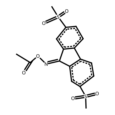 CC(=O)ON=C1c2cc(S(C)(=O)=O)ccc2-c2ccc(S(C)(=O)=O)cc21